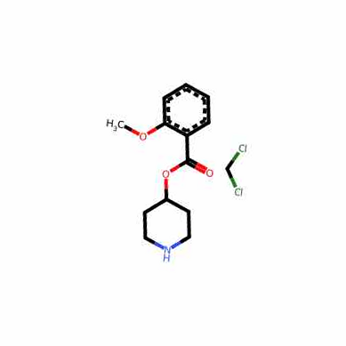 COc1ccccc1C(=O)OC1CCNCC1.ClCCl